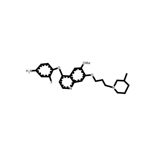 COc1cc2c(Oc3ccc(N)cc3F)ccnc2cc1OCCCN1CCCC(C)C1